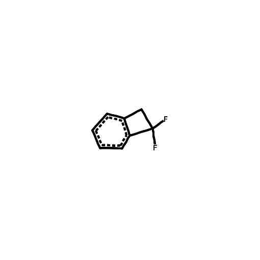 FC1(F)Cc2ccccc21